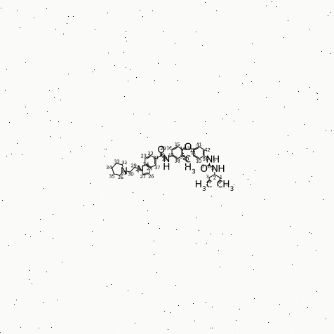 CCC(CC)NC(=O)Nc1ccc(Oc2ccc(NC(=O)c3ccc4c(ccn4CCN4CCCCC4)c3)cc2C)cc1